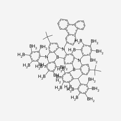 Bc1c(B)c(B)c(C2c3cc(C(C)(C)C)cc4c3B(c3cc5c(cc3N4c3c(B)c(B)c(B)c(B)c3B)N(c3ccc4c6ccccc6c6ccccc6c4c3)c3cc(C(C)(C)C)cc4c3B5c3c(B)c(B)c(B)c(B)c3N4c3c(B)c(B)c(B)c(B)c3B)c3c(B)c(B)c(B)c(B)c32)c(B)c1B